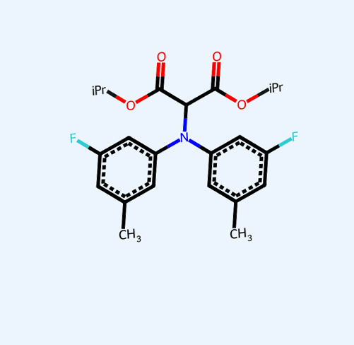 Cc1cc(F)cc(N(c2cc(C)cc(F)c2)C(C(=O)OC(C)C)C(=O)OC(C)C)c1